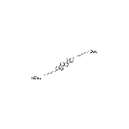 CCCCCCCCCCCCCCCCCCc1ccc2c(c1)oc1c2ccc2c1ccc1c3ccc(CCCCCCCCCCCCCCCCCC)cc3sc12